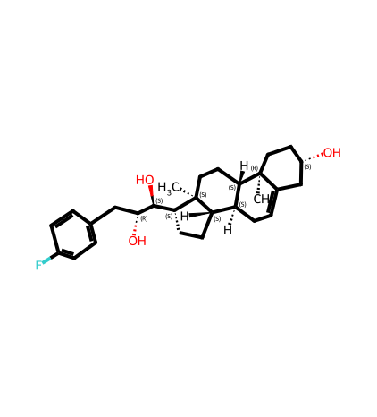 C[C@]12CC[C@H]3[C@@H](CC=C4C[C@@H](O)CC[C@@]43C)[C@@H]1CC[C@@H]2[C@H](O)[C@H](O)Cc1ccc(F)cc1